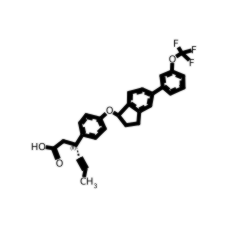 CC#C[C@H](CC(=O)O)c1ccc(OC2CCc3cc(-c4cccc(OC(F)(F)F)c4)ccc32)cc1